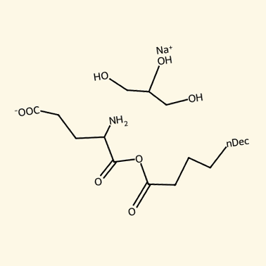 CCCCCCCCCCCCCC(=O)OC(=O)C(N)CCC(=O)[O-].OCC(O)CO.[Na+]